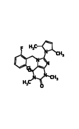 CC1C=CC(C)N1c1nc2c(c(=O)n(C)c(=O)n2C)n1Cc1c(F)cccc1Cl